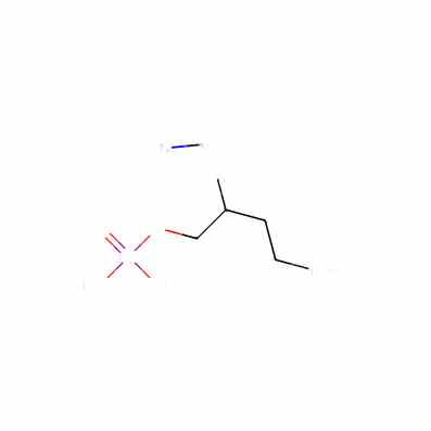 CCCCCCCCCCCCC(CCCCCCCCCC)COP(=O)(O)O.CCCCCCCCN